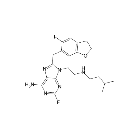 CC(C)CCNCCn1c(Cc2cc3c(cc2I)CCO3)nc2c(N)nc(F)nc21